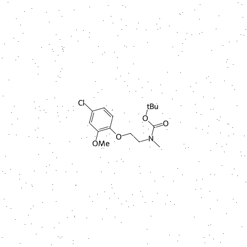 COc1cc(Cl)ccc1OCCN(C)C(=O)OC(C)(C)C